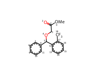 COC(=O)COC(c1ccccc1)c1ccccc1C(F)(F)F